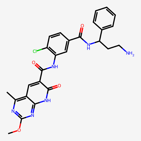 COc1nc(C)c2cc(C(=O)Nc3cc(C(=O)NC(CCN)c4ccccc4)ccc3Cl)c(=O)[nH]c2n1